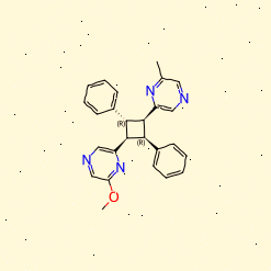 COc1cncc([C@H]2[C@H](c3ccccc3)[C@@H](c3cncc(C)n3)[C@H]2c2ccccc2)n1